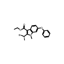 CCOC(=O)c1c([C@@H](C)Br)n(C)c2cc(Oc3ccccc3)ccc12